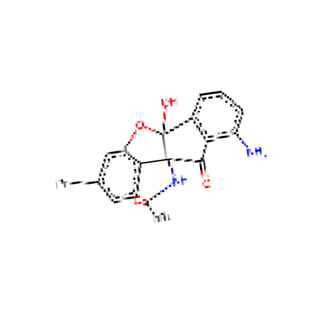 CCCCC(=O)NC12C(=O)c3c(N)cccc3C1(O)Oc1cc(C(C)C)ccc12